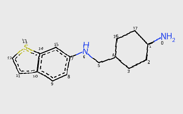 NC1CCC(CNc2ccc3ccsc3c2)CC1